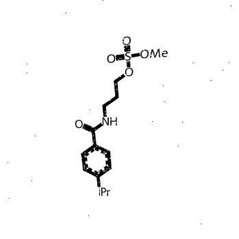 COS(=O)(=O)OCCCNC(=O)c1ccc(C(C)C)cc1